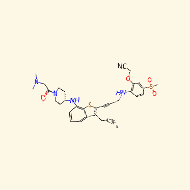 CN(C)CC(=O)N1CCC(Nc2cccc3c(CC(F)(F)F)c(C#CCNc4ccc(S(C)(=O)=O)cc4OCC#N)sc23)CC1